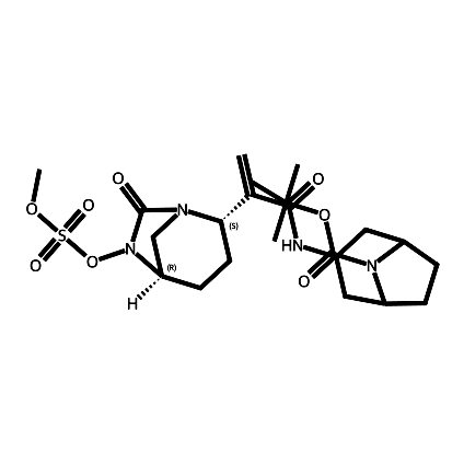 C=C(C(=O)NC1CC2CCC(C1)N2C(=O)OC(C)(C)C)[C@@H]1CC[C@@H]2CN1C(=O)N2OS(=O)(=O)OC